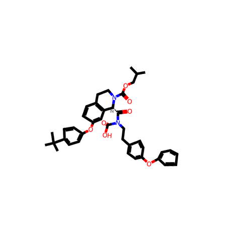 CC(C)COC(=O)N1CCc2ccc(Oc3ccc(C(C)(C)C)cc3)cc2[C@H]1C(=O)N(CCc1ccc(Oc2ccccc2)cc1)C(=O)O